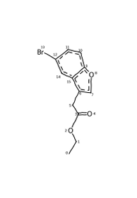 CCOC(=O)Cc1coc2ccc(Br)cc12